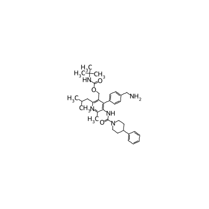 Cc1nc(CC(C)C)c(COC(=O)NC(C)(C)C)c(-c2ccc(CN)cc2)c1NC(=O)N1CCC(c2ccccc2)CC1